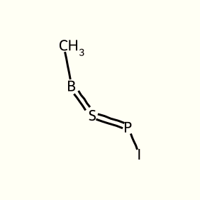 CB=S=PI